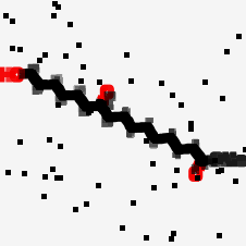 COC(=O)CCCCCCCCC(=O)CCCCCCO